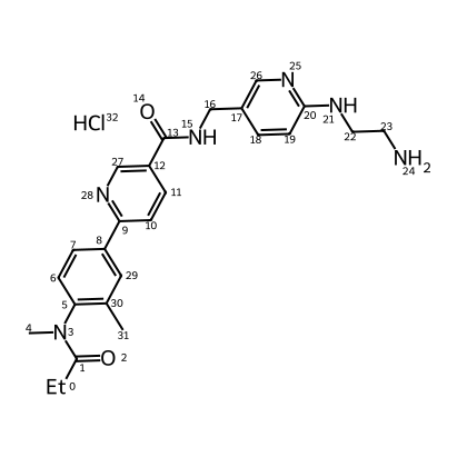 CCC(=O)N(C)c1ccc(-c2ccc(C(=O)NCc3ccc(NCCN)nc3)cn2)cc1C.Cl